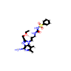 CCOCc1nc2c(N)nc(C)c(C)c2n1CCCNC(=O)NS(=O)(=O)c1ccccc1